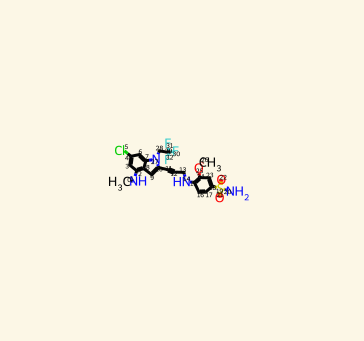 CNc1cc(Cl)cc2c1cc(C#CCNc1ccc(S(N)(=O)=O)cc1OC)n2CC(F)(F)F